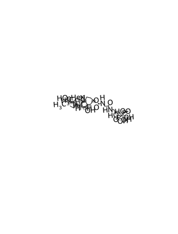 CCCCCC[C@](C)(O)[C@H]1CC[C@H]2[C@@H]3C[C@H](O)[C@H]4C[C@@H](OC(=O)NCC(=O)NCCCC(O)(P(=O)(O)O)P(=O)(O)O)CC[C@]4(C)[C@H]3CC[C@@]21C